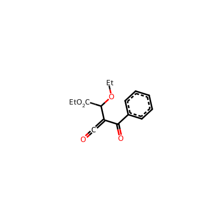 CCOC(=O)C(OCC)C(=C=O)C(=O)c1ccccc1